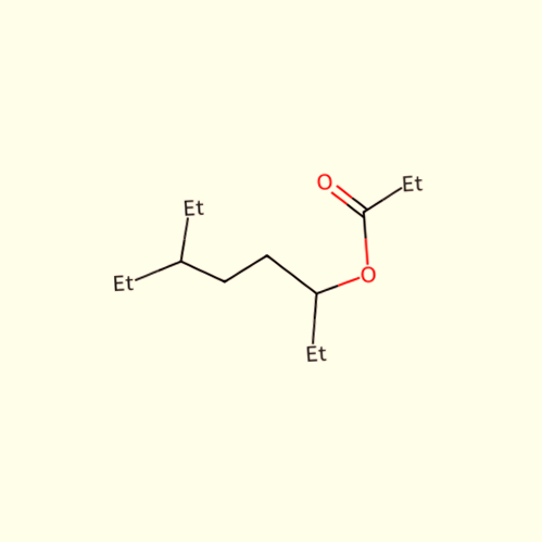 CCC(=O)OC(CC)CCC(CC)CC